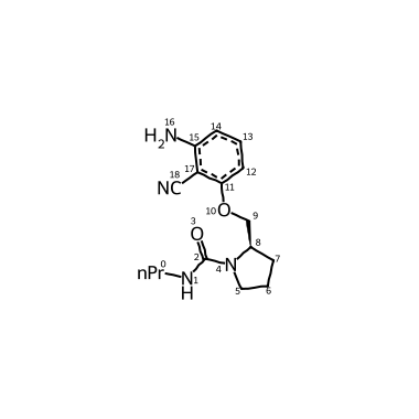 CCCNC(=O)N1CCC[C@@H]1COc1cccc(N)c1C#N